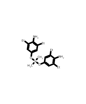 CCc1cc(O[Si](C)(C)Oc2cc(CC)c(N)c(CC)c2)cc(CC)c1N